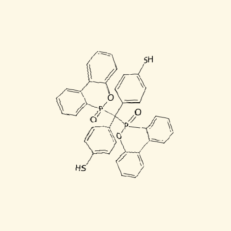 O=P1(C(c2ccc(S)cc2)(c2ccc(S)cc2)P2(=O)Oc3ccccc3-c3ccccc32)Oc2ccccc2-c2ccccc21